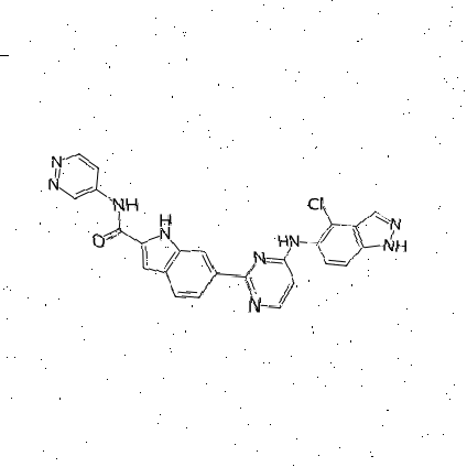 O=C(Nc1ccnnc1)c1cc2ccc(-c3nccc(Nc4ccc5[nH]ncc5c4Cl)n3)cc2[nH]1